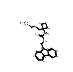 O=C(O)CSCC1(NC(=O)OCC2c3ccccc3-c3ccccc32)CCC1